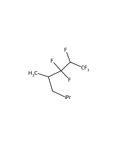 [CH2]C(C)CC(C)C(F)(F)[C](F)C(F)(F)F